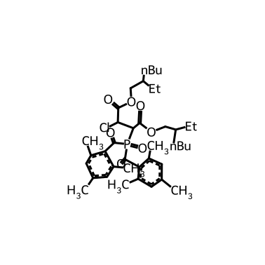 CCCCC(CC)COC(=O)C(Cl)C(C(=O)OCC(CC)CCCC)P(=O)(C(=O)c1c(C)cc(C)cc1C)C(=O)c1c(C)cc(C)cc1C